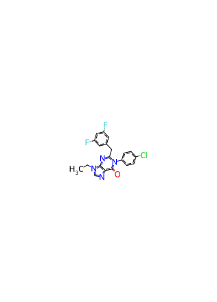 CCn1cnc2c(=O)n(-c3ccc(Cl)cc3)c(Cc3cc(F)cc(F)c3)nc21